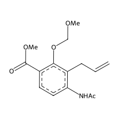 C=CCc1c(NC(C)=O)ccc(C(=O)OC)c1OCOC